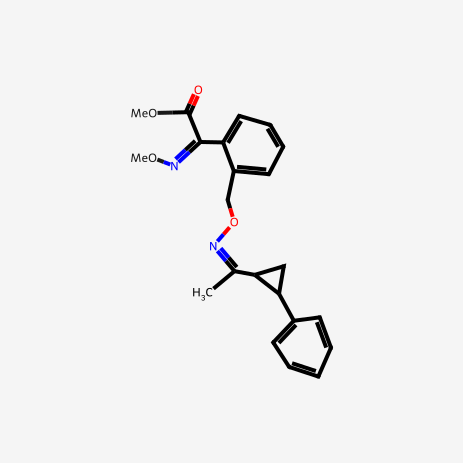 CON=C(C(=O)OC)c1ccccc1CON=C(C)C1CC1c1ccccc1